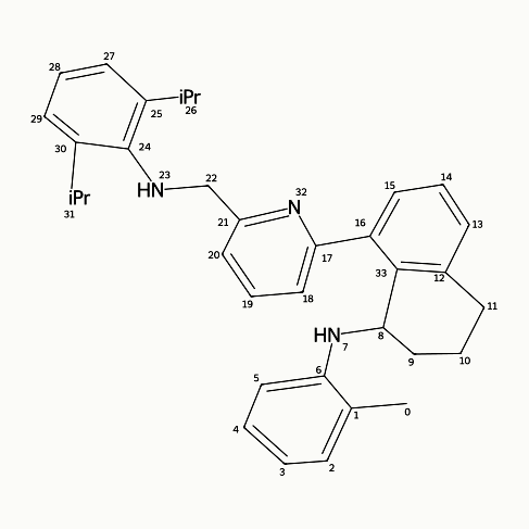 Cc1ccccc1NC1CCCc2cccc(-c3cccc(CNc4c(C(C)C)cccc4C(C)C)n3)c21